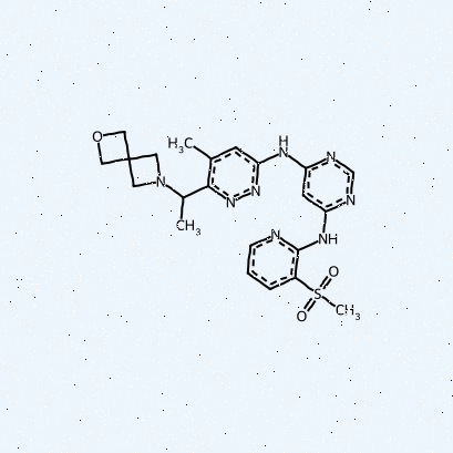 Cc1cc(Nc2cc(Nc3ncccc3S(C)(=O)=O)ncn2)nnc1C(C)N1CC2(COC2)C1